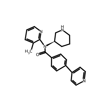 Cc1cccnc1N(C(=O)c1ccc(-c2ccncc2)cc1)[C@@H]1CCCNC1